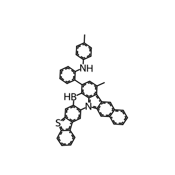 Cc1ccc(Nc2ccccc2-c2cc(C)c3c4cc5ccccc5cc4n4c3c2Bc2cc3sc5ccccc5c3cc2-4)cc1